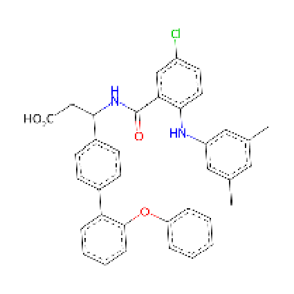 Cc1cc(C)cc(Nc2ccc(Cl)cc2C(=O)NC(CC(=O)O)c2ccc(-c3ccccc3Oc3ccccc3)cc2)c1